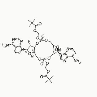 CC(C)(C)C(=O)OCOP1(=O)OC[C@H]2O[C@@H](n3cnc4c(N)ncnc43)C(F)C2OP(=O)(OCOC(=O)C(C)(C)C)OCC2O[C@@H](n3cnc4c(N)ncnc43)C(O1)C2O